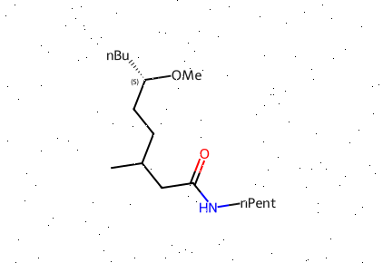 CCCCCNC(=O)CC(C)CC[C@H](CCCC)OC